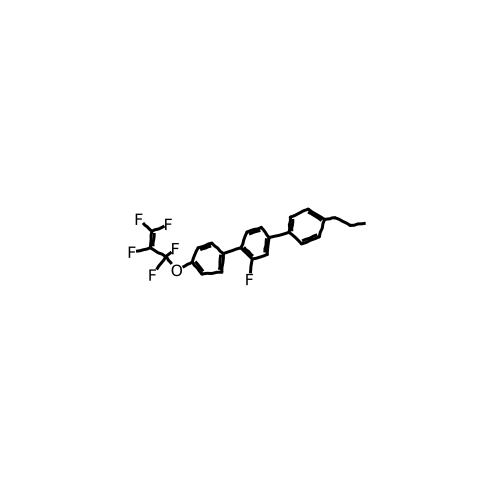 CCCc1ccc(-c2ccc(-c3ccc(OC(F)(F)C(F)=C(F)F)cc3)c(F)c2)cc1